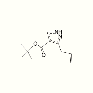 C=CCc1n[nH]cc1C(=O)OC(C)(C)C